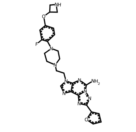 Nc1nc2c(ncn2CCN2CCN(c3ccc(OC4CNC4)cc3F)CC2)c2nc(-c3ccco3)nn12